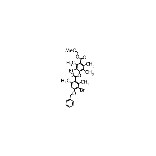 CCc1c(C)c(C(=O)OCOC)c(C)c(C)c1OC(=O)c1c(C)cc(OCc2ccccc2)c(Br)c1C